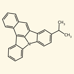 CC(C)c1ccc2c(c1)c1cc3ccccc3c3c4ccccc4n2c13